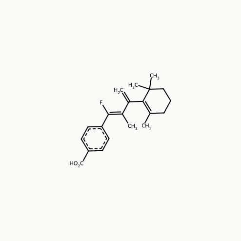 C=C(C1=C(C)CCCC1(C)C)/C(C)=C(\F)c1ccc(C(=O)O)cc1